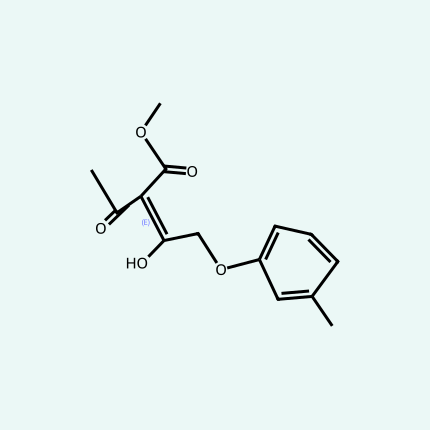 COC(=O)/C(C(C)=O)=C(/O)COc1cccc(C)c1